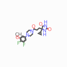 COc1cc(N2CCN(C(=O)CCC3(C4CC4)NC(=O)NC3=O)CC2)cc(F)c1F